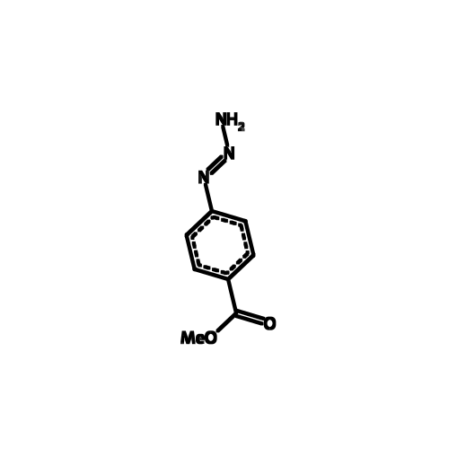 COC(=O)c1ccc(N=NN)cc1